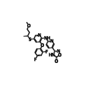 COCCC(C)Sc1cnc(Nc2ccc(-c3noc(=O)[nH]3)cn2)c(Oc2ccc(F)cc2F)c1